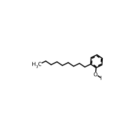 CCCCCCCCCc1ccccc1OI